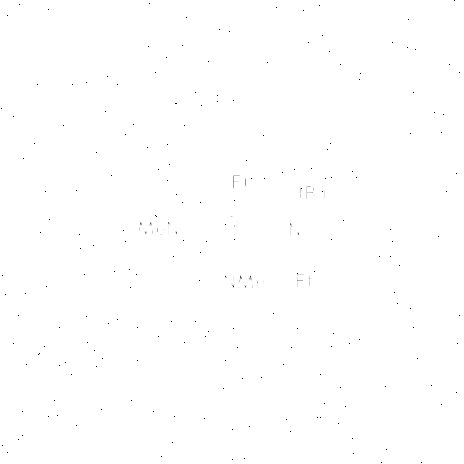 CCN(C(C)(C)C)[Si](CC)(NC)NC